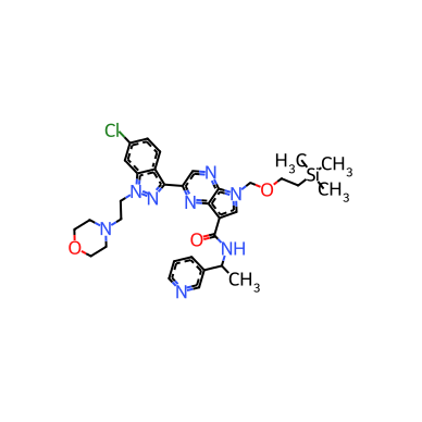 CC(NC(=O)c1cn(COCC[Si](C)(C)C)c2ncc(-c3nn(CCN4CCOCC4)c4cc(Cl)ccc34)nc12)c1cccnc1